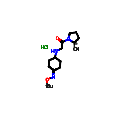 CC(C)(C)ON=C1CCC(NCC(=O)N2CCC[C@H]2C#N)CC1.Cl